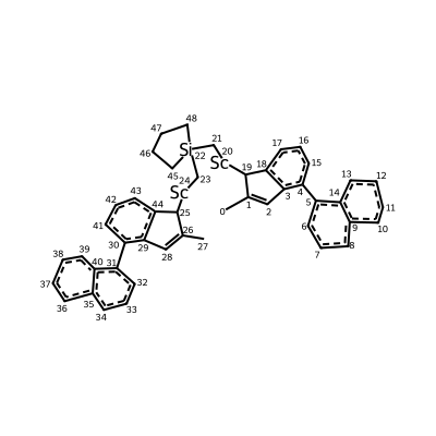 CC1=Cc2c(-c3cccc4ccccc34)cccc2[CH]1[Sc][CH2][Si]1([CH2][Sc][CH]2C(C)=Cc3c(-c4cccc5ccccc45)cccc32)CCCC1